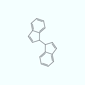 C1=CC(C2C=Cc3ccccc32)c2ccccc21